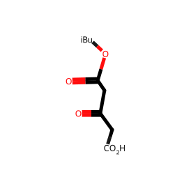 CCC(C)OC(=O)CC(=O)CC(=O)O